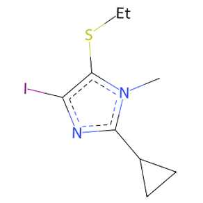 CCSc1c(I)nc(C2CC2)n1C